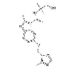 Cc1oc2ccc(OCc3ccnn3C)cc2c1C(=O)NC(C)(C)CO